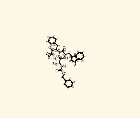 CC[C@@H](NC(=O)OCc1ccccc1)C(=O)NC(Cc1c[nH]c2ccccc12)C(=O)NC(Cc1ccccc1)C(=O)C1(C)CO1